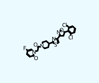 O=C(Cn1cc(F)ccc1=O)N1CCC(c2nc(C3=NOC(c4c(Cl)cccc4Cl)C3)cs2)CC1